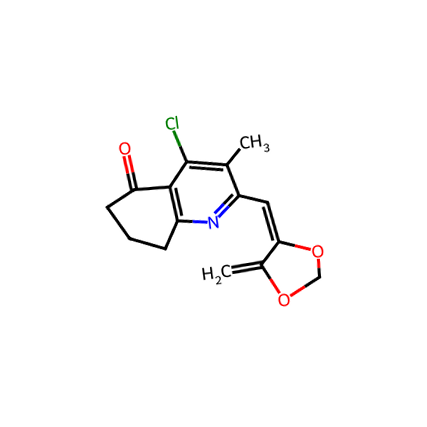 C=C1OCO/C1=C/c1nc2c(c(Cl)c1C)C(=O)CCC2